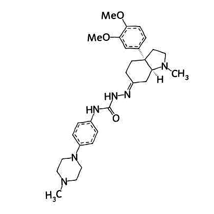 COc1ccc([C@@]23CC/C(=N\NC(=O)Nc4ccc(N5CCN(C)CC5)cc4)C[C@@H]2N(C)CC3)cc1OC